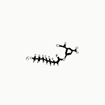 O=C(Cl)c1cc(OC(F)=C(F)C(F)(F)C(F)(F)C(F)(F)C(F)(F)C(F)(F)C(F)(F)C(F)(F)F)cc(C(=O)Cl)c1